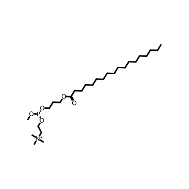 CCCCCCCCCCCCCCCCCC(=O)OCCCOP(OC)OCC[N+](C)(C)C